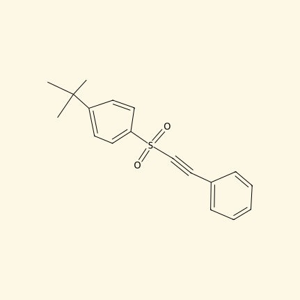 CC(C)(C)c1ccc(S(=O)(=O)C#Cc2ccccc2)cc1